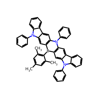 Cc1cc(C)c(B2c3cc4c(cc3N(c3ccccc3)c3cc5c6ccccc6n(-c6ccccc6)c5cc32)c2ccccc2n4-c2ccccc2)c(C)c1